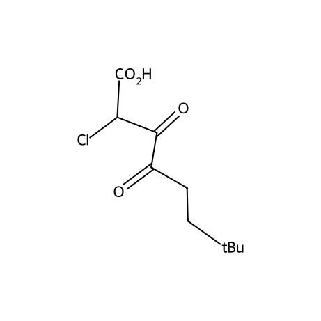 CC(C)(C)CCC(=O)C(=O)C(Cl)C(=O)O